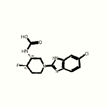 O=C(O)N[C@@H]1CN(c2nc3ccc(Cl)cc3[nH]2)CC[C@H]1F